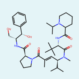 C/C(=C\[C@H](C(C)C)N(C)C(=O)[C@@H](NC(=O)C1CCCCN1C(C)C)C(C)(C)C)C(=O)N1CCC[C@H]1C(=O)N[C@H](CO)[C@@H](O)c1ccccc1